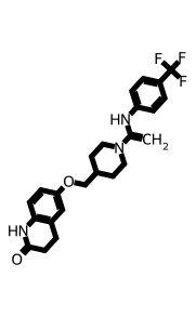 C=C(Nc1ccc(C(F)(F)F)cc1)N1CCC(COc2ccc3c(c2)CCC(=O)N3)CC1